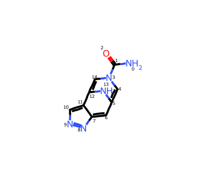 NC(=O)N1C=c2cc3nncc-3c([nH]2)=C1